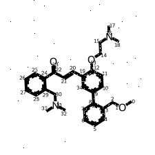 COCc1ccccc1-c1ccc(OCCN(C)C)c(C=CC(=O)c2ccccc2CN(C)C)c1